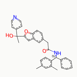 Cc1ccc([C@@H](NC(=O)Cc2ccc3oc(C(C)(O)c4ccncc4)cc3c2)c2ccccc2)c(C)c1